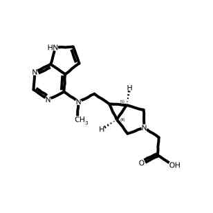 CN(CC1[C@H]2CN(CC(=O)O)C[C@@H]12)c1ncnc2[nH]ccc12